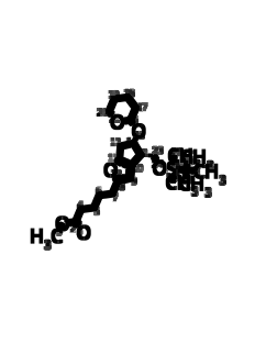 COC(=O)CCCCc1cc2c(o1)C[C@@H](OC1CCCCO1)[C@@H]2CO[Si](C)(C)C(C)(C)C